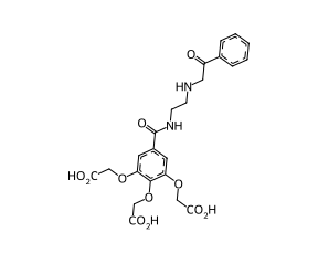 O=C(O)COc1cc(C(=O)NCCNCC(=O)c2ccccc2)cc(OCC(=O)O)c1OCC(=O)O